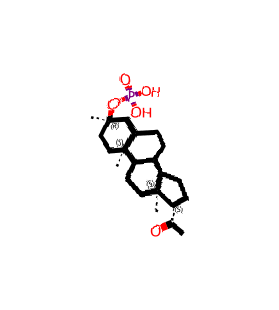 CC(=O)[C@H]1CCC2C3CCC4C[C@](C)(OP(=O)(O)O)CC[C@]4(C)C3CC[C@@]21C